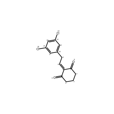 O=C1CCCC(=O)C1=CCc1cc(Cl)cc(Cl)c1